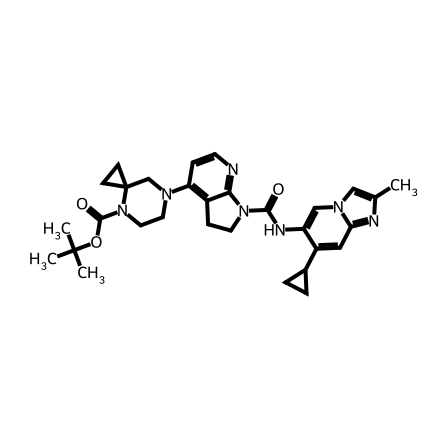 Cc1cn2cc(NC(=O)N3CCc4c(N5CCN(C(=O)OC(C)(C)C)C6(CC6)C5)ccnc43)c(C3CC3)cc2n1